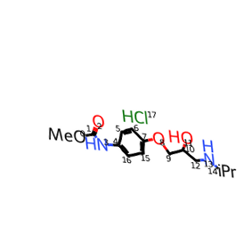 COC(=O)Nc1ccc(OCC(O)CNC(C)C)cc1.Cl